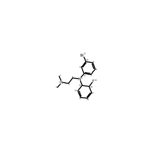 CN(C)CCN(c1cccc(Br)c1)C1C=CC=CC1F